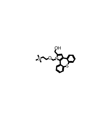 C[Si](C)(C)CCOCn1c(CO)cc2c1-c1ccccc1Sc1ccccc1-2